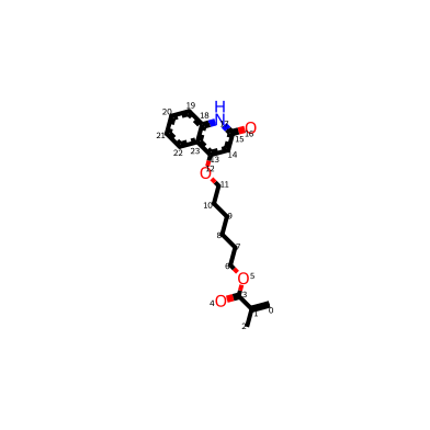 C=C(C)C(=O)OCCCCCCOc1cc(=O)[nH]c2ccccc12